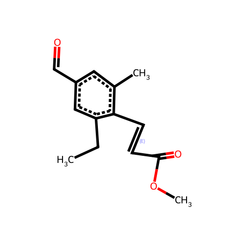 CCc1cc(C=O)cc(C)c1/C=C/C(=O)OC